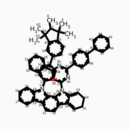 CC1C(C)(C)c2ccc(-c3ccc(-n4c5ccccc5c5ccc6c7c(n(-c8nc(-c9ccccc9)nc(-c9ccc(-c%10ccccc%10)cc9)n8)c6c54)=CCCC=7)cc3)cc2C1(C)C